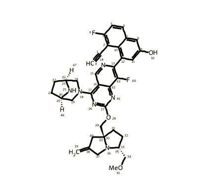 C#Cc1c(F)ccc2cc(O)cc(-c3ncc4c(N5C[C@H]6CC[C@@H](C5)N6)nc(OC[C@@]56CC[C@H](COC)N5CC(=C)C6)nc4c3F)c12